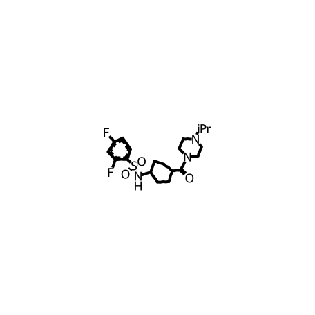 CC(C)N1CCN(C(=O)C2CCC(NS(=O)(=O)c3ccc(F)cc3F)CC2)CC1